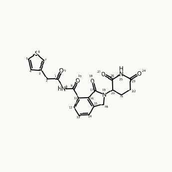 O=C(Cc1ccsc1)NC(=O)c1cccc2c1C(=O)N(C1CCC(=O)NC1=O)C2